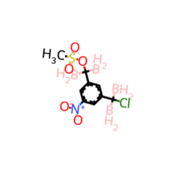 BC(B)(Cl)c1cc([N+](=O)[O-])cc(C(B)(B)OS(C)(=O)=O)c1